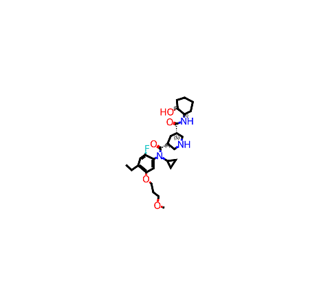 CCc1cc(F)c(N(C(=O)[C@H]2CNC[C@@H](C(=O)N[C@@H]3CCCC[C@H]3O)C2)C2CC2)cc1OCCCOC